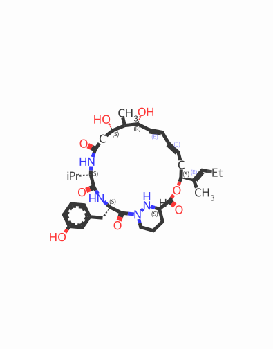 CC/C=C(\C)[C@@H]1C/C=C/C=C/[C@@H](O)C(C)[C@@H](O)CC(=O)N[C@@H](C(C)C)C(=O)N[C@@H](Cc2cccc(O)c2)C(=O)N2CCC[C@H](N2)C(=O)O1